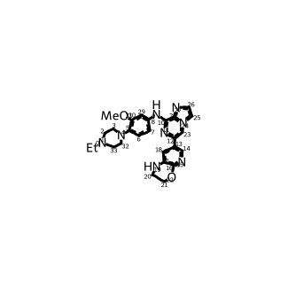 CCN1CCN(c2ccc(Nc3nc(-c4cnc5c(c4)NCCO5)cn4ccnc34)cc2OC)CC1